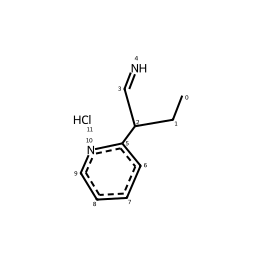 CCC(C=N)c1ccccn1.Cl